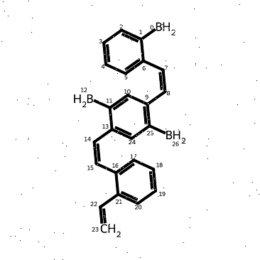 Bc1ccccc1/C=C\c1cc(B)c(/C=C\c2ccccc2C=C)cc1B